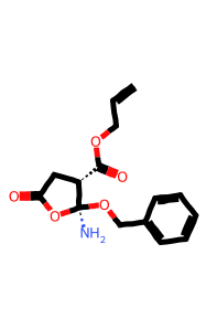 C=CCOC(=O)[C@H]1CC(=O)O[C@]1(N)OCc1ccccc1